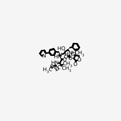 COC(=O)NC(C(=O)NN(Cc1ccc(-c2ccccn2)cc1)C[C@H](O)[C@H](Cc1ccccc1)NC(=O)O[C@H]1C(=O)OCC1(C)C)C(C)(C)C